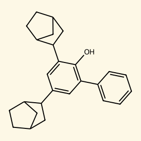 Oc1c(-c2ccccc2)cc(C2CC3CCC2C3)cc1C1CC2CCC1C2